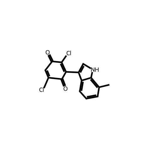 Cc1cccc2c(C3=C(Cl)C(=O)C=C(Cl)C3=O)c[nH]c12